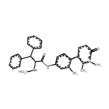 Cc1c(-c2ccc(NC(=O)C(NC(=O)O)C(c3ccccc3)c3ccccc3)cc2C(F)(F)F)ccc(=O)n1C